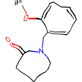 CC(C)Oc1ccccc1N1CCCC1=O